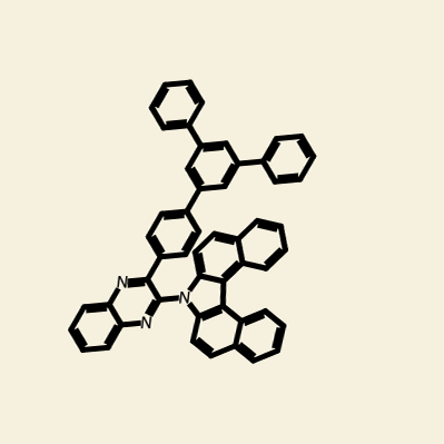 c1ccc(-c2cc(-c3ccccc3)cc(-c3ccc(-c4nc5ccccc5nc4-n4c5ccc6ccccc6c5c5c6ccccc6ccc54)cc3)c2)cc1